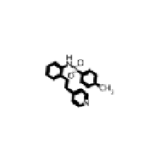 Cc1ccc(S(=O)(=O)Nc2ccccc2C=Cc2ccncc2)cc1